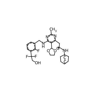 Cc1nc(CC(=O)NC23CCC(CC2)CC3)c(C2OCCO2)c(NCc2cccc(C(F)(F)CO)c2F)n1